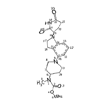 CN(C(=O)OC(C)(C)C)C1CCN(c2cccc3c2CCN3[C@@H]2CCC(=O)NC2=O)CC1